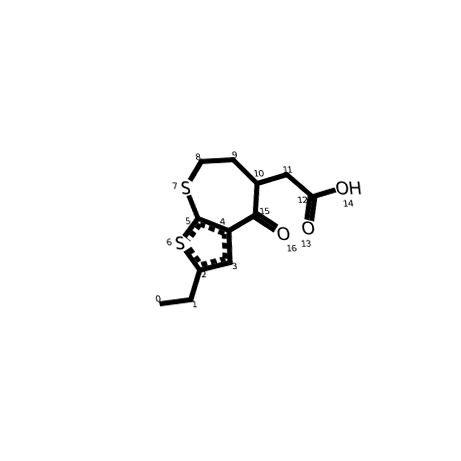 CCc1cc2c(s1)SCCC(CC(=O)O)C2=O